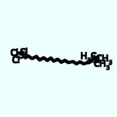 C[Si](C)(C)C#CCCCCCCCCCCCCCCCCC[Si](Cl)(Cl)Cl